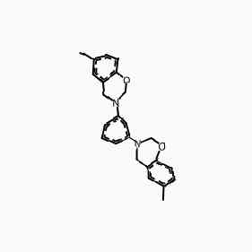 Cc1ccc2c(c1)CN(c1cccc(N3COc4ccc(C)cc4C3)c1)CO2